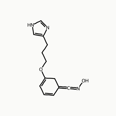 ON=C=C1C=CC=C(OCCCc2c[nH]cn2)C1